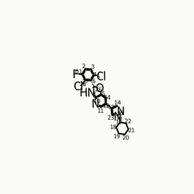 Fc1ccc(Cl)c([C@H]2Nc3ncc(-c4cnn(C5CCCCC5)c4)cc3O2)c1Cl